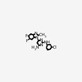 Cc1nc2cc(F)c(F)cc2n1-c1cc(N)nc(Nc2cccc(Cl)c2)n1